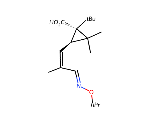 CCCO/N=C/C(C)=C[C@@H]1C(C)(C)[C@]1(C(=O)O)C(C)(C)C